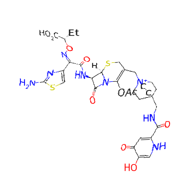 CC[C@H](O/N=C(\C(=O)N[C@@H]1C(=O)N2C(OC(C)=O)=C(C[N+]34CCC(CNC(=O)c5cc(=O)c(O)c[nH]5)(CC3)CC4)CS[C@H]12)c1csc(N)n1)C(=O)O